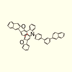 c1cc(-c2ccc(N(c3ccc4oc5ccccc5c4c3)c3ccccc3-c3cccc4c3oc3cc5ccccc5cc34)cc2)cc(-c2ccc3ccccc3c2)c1